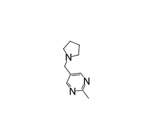 Cc1ncc(CN2CCCC2)cn1